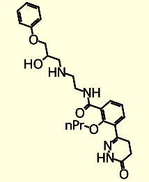 CCCOc1c(C(=O)NCCNCC(O)COc2ccccc2)cccc1C1=NNC(=O)CC1